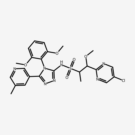 COc1cccc(OC)c1-n1c(NS(=O)(=O)C(C)C(OC)c2ncc(Cl)cn2)nnc1-c1cncc(C)c1